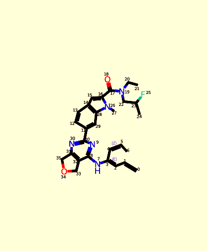 C=C/C=C(\C=C/C)Nc1nc(-c2ccc3cc(C(=O)N(CC)CC(C)F)n(C)c3c2)nc2c1COC2